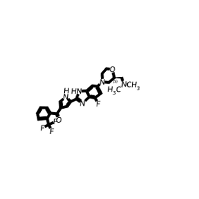 CN(C)C[C@H]1CN(c2cc(F)c3nc(-c4cc(C(=O)c5ccccc5C(F)(F)F)c[nH]4)[nH]c3c2)CCO1